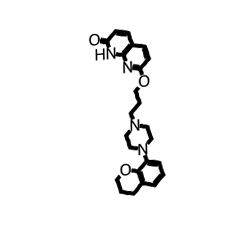 O=c1ccc2ccc(OCCCN3CCN(c4cccc5c4OCCC5)CC3)nc2[nH]1